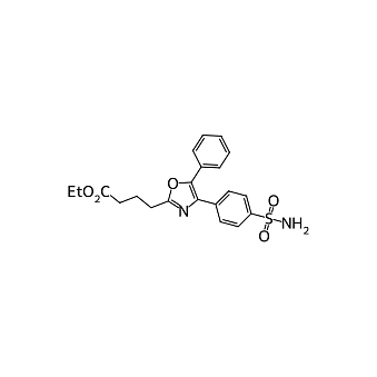 CCOC(=O)CCCc1nc(-c2ccc(S(N)(=O)=O)cc2)c(-c2ccccc2)o1